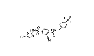 N#Cc1cc(S(=O)(=O)Nc2ncc(Cl)s2)ccc1C(=O)NCc1ccc(C(F)(F)F)cc1